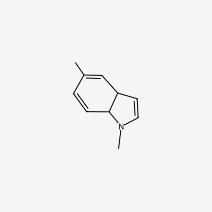 CC1=CC2C=CN(C)C2C=C1